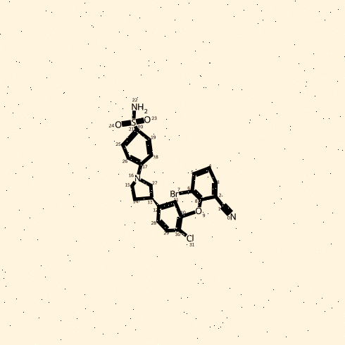 N#Cc1cccc(Br)c1Oc1cc([C@H]2CCN(c3ccc(S(N)(=O)=O)cc3)C2)ccc1Cl